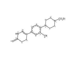 CCOC(=O)N1CCN(c2ccc(C3=NNC(=O)CC3)cc2C#N)CC1